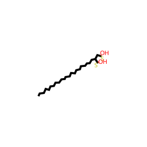 CCCCCCCCCCCCCCCCCCCCCCC(CC(O)=S)C(O)=S